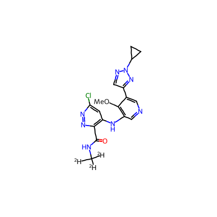 [2H]C([2H])([2H])NC(=O)c1nnc(Cl)cc1Nc1cncc(-c2cnn(C3CC3)n2)c1OC